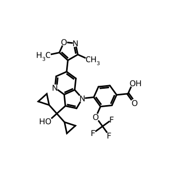 Cc1noc(C)c1-c1cnc2c(C(O)(C3CC3)C3CC3)cn(-c3ccc(C(=O)O)cc3OC(F)(F)F)c2c1